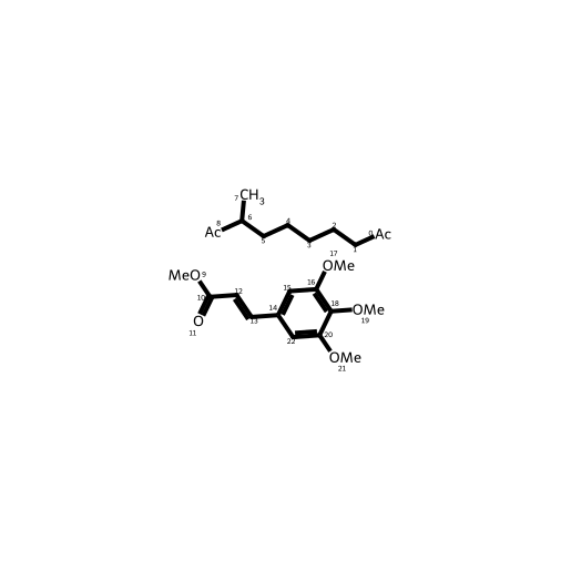 CC(=O)CCCCCC(C)C(C)=O.COC(=O)C=Cc1cc(OC)c(OC)c(OC)c1